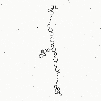 C=CC(=O)OCCCCCCOc1ccc(OCC2CCC(COc3ccc(OCC4CCC(COc5ccc(OCCCCCCOC(=O)C=C)cc5)CC4)c(/C=N/Nc4nc5ccccc5s4)c3)CC2)cc1